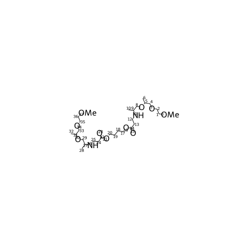 COCCOCC(C)OCC(C)NCCC(=O)OCCCCOC(=O)CCNC(C)COC(C)COCCOC